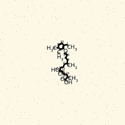 CCC1=C(O/C=C/CCC(C)CCCC(C)(O)CCCC(C)C(=O)O)C(C)C(C)C=C1